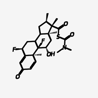 C[C@@H]1CC2C3C[C@H](F)C4=CC(=O)C=C[C@]4(C)[C@@]3(F)[C@@H](O)C[C@]2(C)[C@@]1(C)C(=O)SC(=O)N(C)C